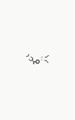 CCCCN(CCCC)S(=O)(=O)Nc1ccc2[nH]cc(C3=CCN(C(CC)CC)CC3)c2c1